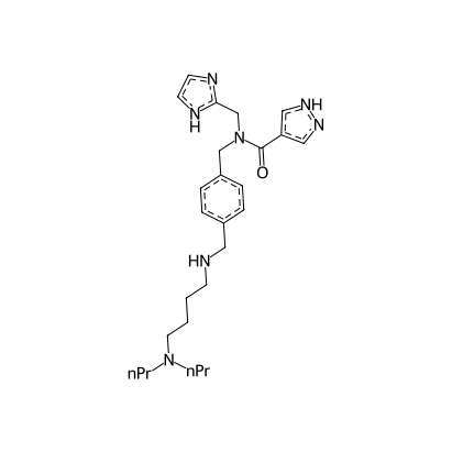 CCCN(CCC)CCCCNCc1ccc(CN(Cc2ncc[nH]2)C(=O)c2cn[nH]c2)cc1